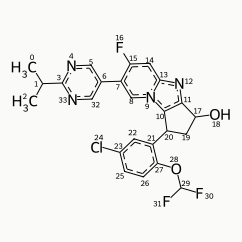 CC(C)c1ncc(-c2cn3c4c(nc3cc2F)C(O)CC4c2cc(Cl)ccc2OC(F)F)cn1